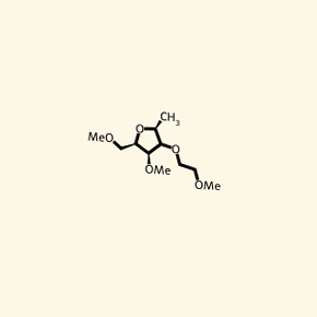 COCCOC1[C@H](C)O[C@H](COC)[C@@H]1OC